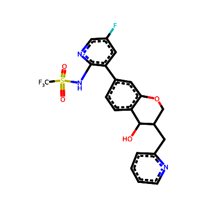 O=S(=O)(Nc1ncc(F)cc1-c1ccc2c(c1)OCC(Cc1ccccn1)C2O)C(F)(F)F